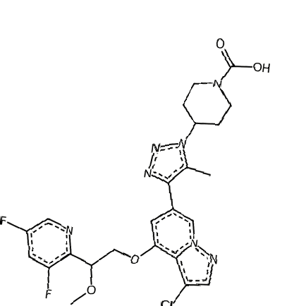 COC(COc1cc(-c2nnn(C3CCN(C(=O)O)CC3)c2C)cn2ncc(Cl)c12)c1ncc(F)cc1F